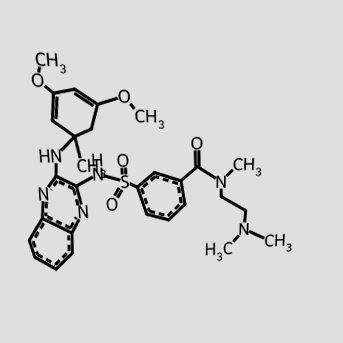 COC1=CC(C)(Nc2nc3ccccc3nc2NS(=O)(=O)c2cccc(C(=O)N(C)CCN(C)C)c2)CC(OC)=C1